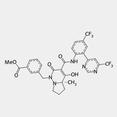 COC(=O)c1cccc(CN2C(=O)C(C(=O)Nc3ccc(C(F)(F)F)cc3-c3cc(C(F)(F)F)ncn3)=C(O)[C@@]3(C)CCCN23)c1